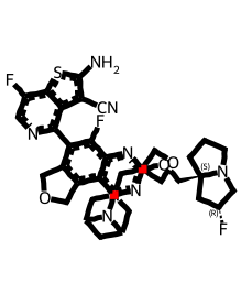 N#Cc1c(N)sc2c(F)cnc(-c3c4c(c5c(N6C7CC6CN(CC6COC6)C7)nc(OC[C@@]67CCCN6C[C@H](F)C7)nc5c3F)COC4)c12